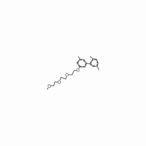 COCCOCCOCCOc1cc(C)cc(-c2cc(C)ccc2C)c1